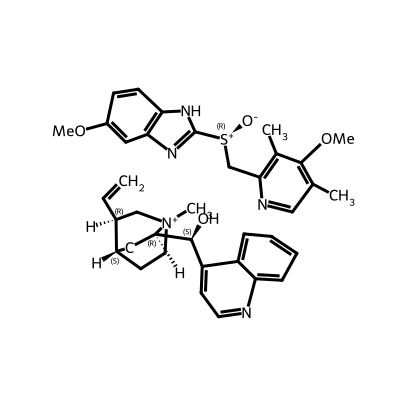 C=C[C@H]1C[N+]2(C)CC[C@H]1C[C@@H]2[C@@H](O)c1ccnc2ccccc12.COc1ccc2[nH]c([S@@+]([O-])Cc3ncc(C)c(OC)c3C)nc2c1